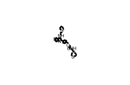 CN1CCCN(CCNC(=O)COCc2ccc(-c3cc(NCCCN4CCCCC4)c4cnccc4n3)cc2)CC1